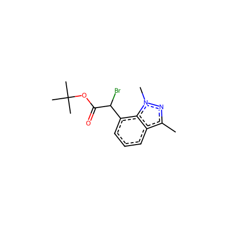 Cc1nn(C)c2c(C(Br)C(=O)OC(C)(C)C)cccc12